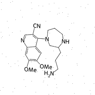 COc1cc2ncc(C#N)c(N3CCCNC(CCCN)C3)c2cc1OC